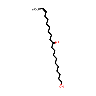 CCCCCCCC/C=C\CCCCCCCC(=O)CCCCCCCCCCO